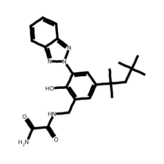 CC(C)(C)CC(C)(C)c1cc(CNC(=O)C(N)=O)c(O)c(-n2nc3ccccc3n2)c1